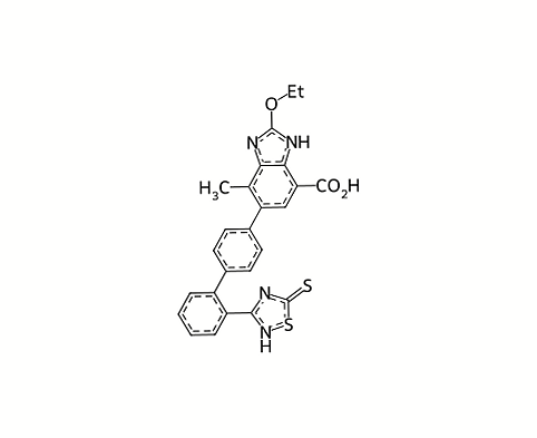 CCOc1nc2c(C)c(-c3ccc(-c4ccccc4-c4nc(=S)s[nH]4)cc3)cc(C(=O)O)c2[nH]1